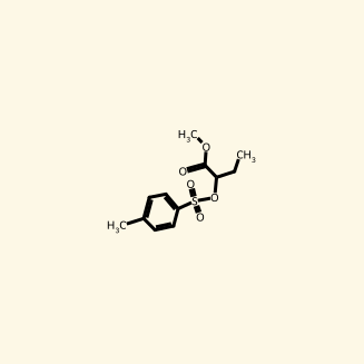 CCC(OS(=O)(=O)c1ccc(C)cc1)C(=O)OC